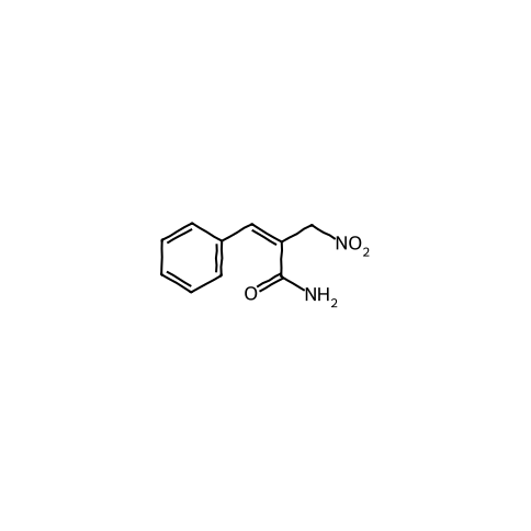 NC(=O)C(=Cc1ccccc1)C[N+](=O)[O-]